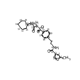 Cc1cc(C(=O)NCCc2ccc(S(=O)(=O)NC(=O)NN3CCCCCC3)cc2)no1